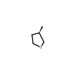 C[C@@H]1[CH]COC1